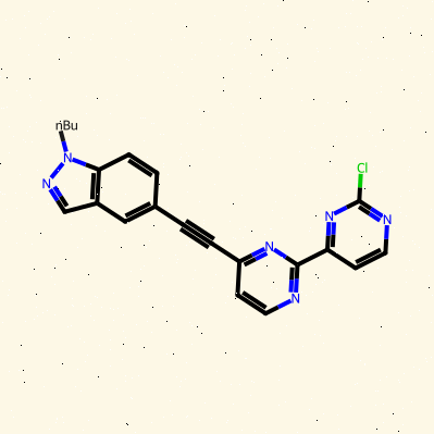 CCCCn1ncc2cc(C#Cc3ccnc(-c4ccnc(Cl)n4)n3)ccc21